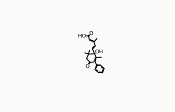 CC(C=CC1(O)C(C)=C(c2ccccc2)C(=O)CC1(C)C)=CC(=O)O